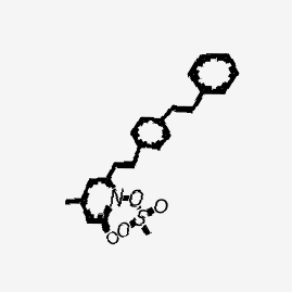 Cc1cc(C=Cc2ccc(C=Cc3ccccc3)cc2)n(OS(C)(=O)=O)c(=O)c1